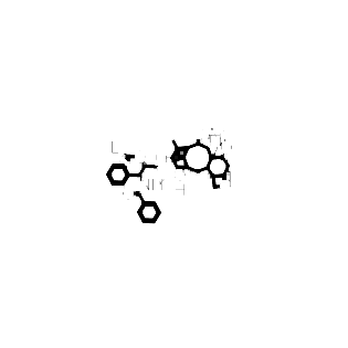 CCC(=O)O[C@@H](C(=O)O[C@H]1C[C@@]2(O)[C@@H](C)C3[C@]4(C)CO[C@@H]4C[C@H](O)[C@@]3(C)C(=O)[C@H](OC(C)=O)C(=C1C)C2(C)C)[C@@H](NC(=O)c1ccccc1)c1ccccc1